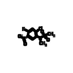 CN(c1cc([N+](=O)[O-])c(F)cc1Cl)S(C)(=O)=O